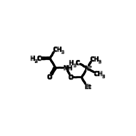 C=C(C)C(=O)NOC(CC)[N+](C)(C)C